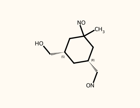 CC1(N=O)C[C@H](CN=O)C[C@H](CO)C1